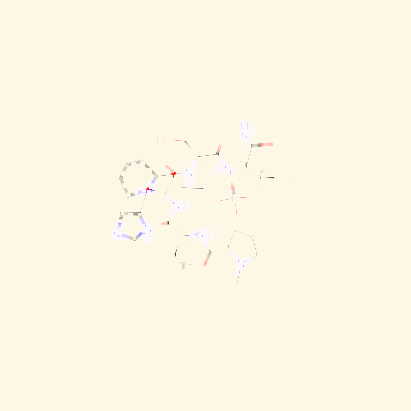 CC(=O)N1CCC[C@H]1C(=O)N[C@@H](CC(C)C)C(=O)N[C@@H](Cc1cnc[nH]1)C(=O)N[C@@H](CO)C(=O)N[C@H](C(N)=O)[C@@H](C)OP(=O)(O)OCCCc1ccccn1